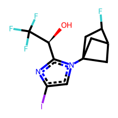 O[C@@H](c1nc(I)cn1C12CC(F)C(C1)C2)C(F)(F)F